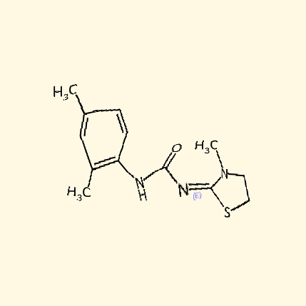 Cc1ccc(NC(=O)/N=C2/SCCN2C)c(C)c1